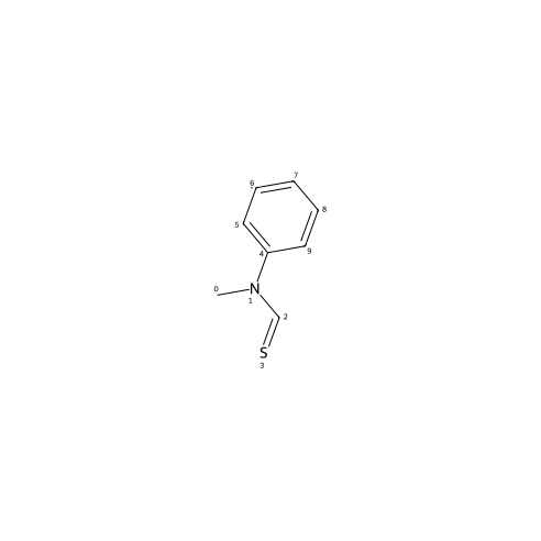 CN(C=S)c1c[c]ccc1